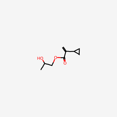 C=C(C(=O)OCC(C)O)C1CC1